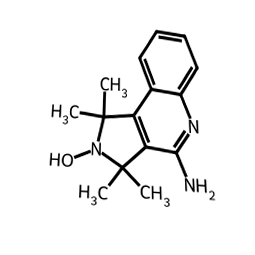 CC1(C)c2c(N)nc3ccccc3c2C(C)(C)N1O